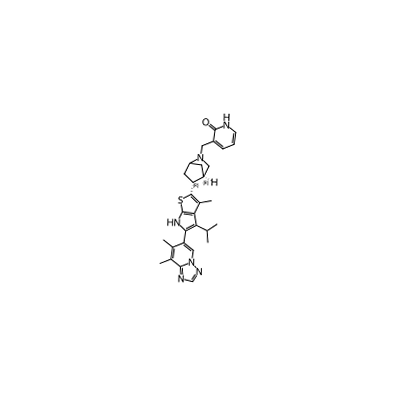 Cc1c(-c2[nH]c3sc([C@@H]4CC5C[C@H]4CN5Cc4ccc[nH]c4=O)c(C)c3c2C(C)C)cn2ncnc2c1C